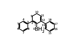 BC1=C(c2ccccc2)CCC=C1c1ccccc1